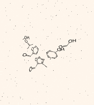 CC(C)=O.CO.Cc1ccoc1C=O.O=CO.O=Cc1ccco1.Oc1ccccc1